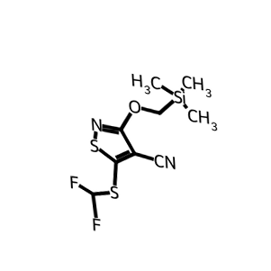 C[Si](C)(C)COc1nsc(SC(F)F)c1C#N